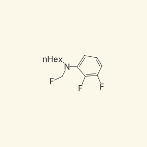 CCCCCCN(CF)c1cccc(F)c1F